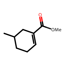 COC(=O)C1=CCCC(C)C1